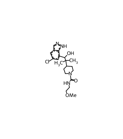 COCCNC(=O)N1CCC(C(C)(C)C(O)c2cc(Cl)cc3cn[nH]c23)CC1